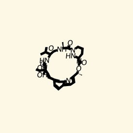 CC(C)C1NC(=O)C(C)(C(C)(O)O)/C=C/c2ccc3ccc(nc3c2)[C@@H](C)OC(=O)[C@@H]2CCCN(N2)C(=O)[C@H](C)NC1=O